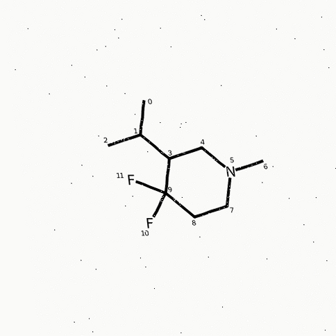 CC(C)C1CN(C)CCC1(F)F